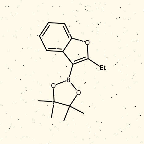 CCc1oc2ccccc2c1B1OC(C)(C)C(C)(C)O1